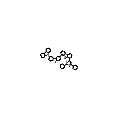 c1ccc(-c2nc(-c3ccccc3)nc(-c3cccc4c3sc3c(-c5ccc6oc7ccc(-n8c9ccccc9c9ccccc98)cc7c6c5)cccc34)n2)cc1